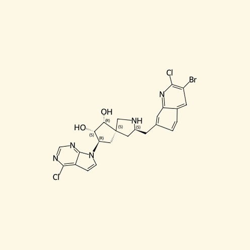 O[C@H]1[C@H](n2ccc3c(Cl)ncnc32)C[C@@]2(CN[C@@H](Cc3ccc4cc(Br)c(Cl)nc4c3)C2)[C@H]1O